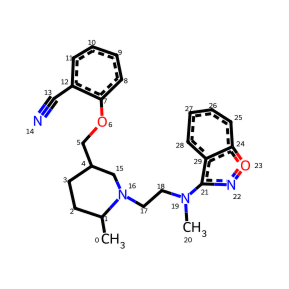 CC1CCC(COc2ccccc2C#N)CN1CCN(C)c1noc2ccccc12